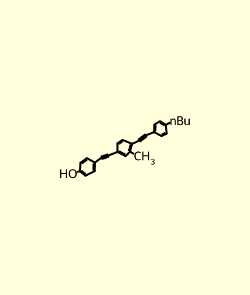 CCCCc1ccc(C#Cc2ccc(C#Cc3ccc(O)cc3)cc2C)cc1